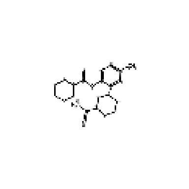 Cc1ccc(OC(=O)C2CCCCC2)cc1.NC(=O)C1CCCCC1